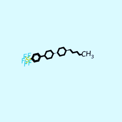 CCCCC[C@H]1CC[C@H](C2CCC(c3ccc(S(F)(F)(F)(F)F)cc3)CC2)CC1